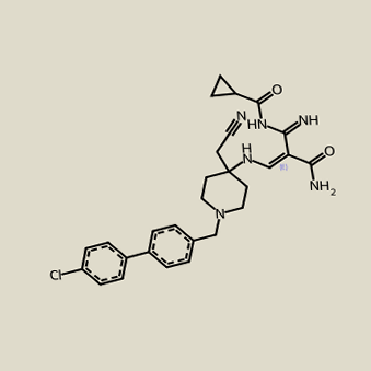 N#CCC1(N/C=C(\C(=N)NC(=O)C2CC2)C(N)=O)CCN(Cc2ccc(-c3ccc(Cl)cc3)cc2)CC1